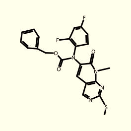 CSc1ncc2cc(N(C(=O)OCc3ccccc3)c3ccc(F)cc3F)c(=O)n(C)c2n1